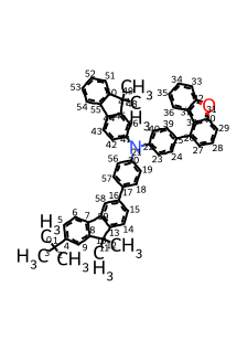 CC(C)(C)c1ccc2c(c1)C(C)(C)c1ccc(-c3ccc(N(c4ccc(-c5cccc6oc7ccccc7c56)cc4)c4ccc5c(c4)C(C)(C)c4ccccc4-5)cc3)cc1-2